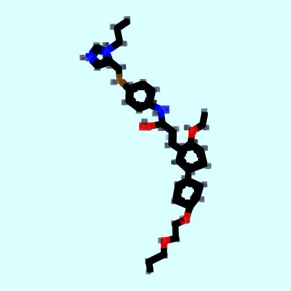 CCCOCCOc1ccc(-c2ccc(OCC)c(/C=C/C(O)Nc3ccc(SCc4cncn4CCC)cc3)c2)cc1